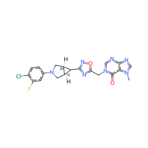 Cn1cnc2ncn(Cc3nc(C4[C@H]5CN(c6ccc(Cl)c(F)c6)C[C@@H]45)no3)c(=O)c21